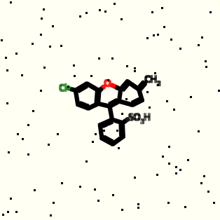 C=c1ccc2c(c1)Oc1cc(Cl)ccc1C=2c1ccccc1S(=O)(=O)O